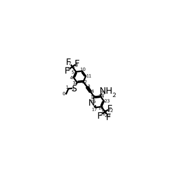 CCSc1cc(C(F)(F)F)ccc1C#Cc1ncc(C(F)(F)F)cc1N